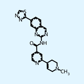 CN1CC=C(c2cc(C(=O)Nc3ncc4ccc(-c5nncs5)cc4n3)ccn2)CC1